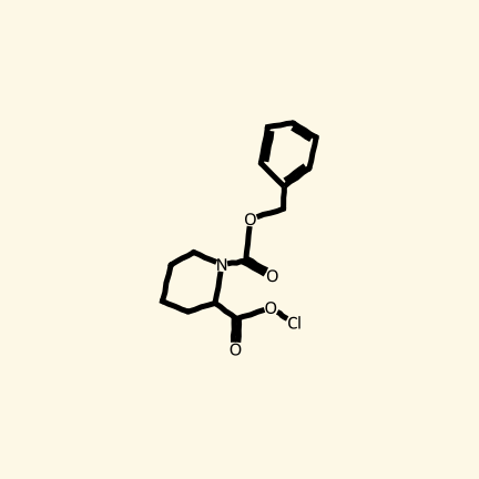 O=C(OCl)C1CCCCN1C(=O)OCc1ccccc1